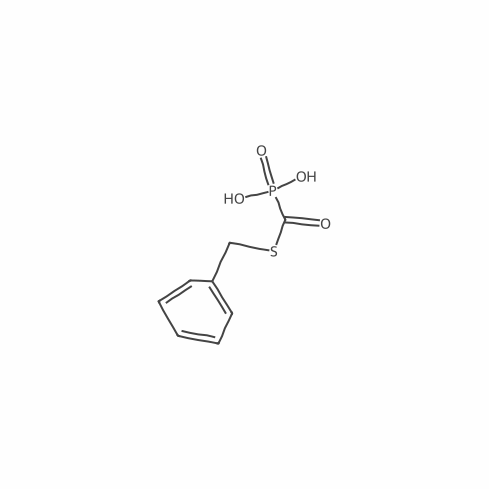 O=C(SCc1ccccc1)P(=O)(O)O